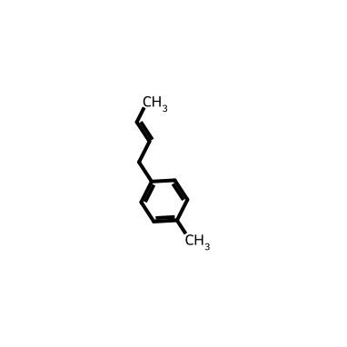 CC=CCc1ccc(C)cc1